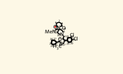 CNC(=O)C1(N2CCCCC2=O)CCN(CCC(CN(C)C(=O)c2ccccc2)c2ccc(Cl)c(Cl)c2)CC1